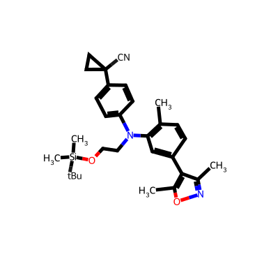 Cc1ccc(-c2c(C)noc2C)cc1N(CCO[Si](C)(C)C(C)(C)C)c1ccc(C2(C#N)CC2)cc1